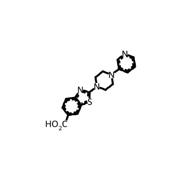 O=C(O)c1ccc2nc(N3CCN(c4cccnc4)CC3)sc2c1